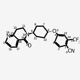 N#Cc1ccc(O[C@H]2CC[C@H](N3CCc4ncccc4C3=O)CC2)cc1C(F)(F)F